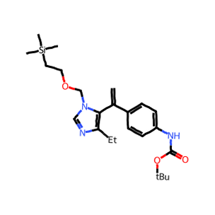 C=C(c1ccc(NC(=O)OC(C)(C)C)cc1)c1c(CC)ncn1COCC[Si](C)(C)C